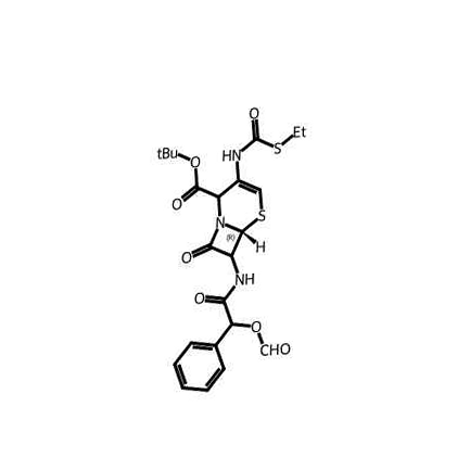 CCSC(=O)NC1=CS[C@@H]2C(NC(=O)C(OC=O)c3ccccc3)C(=O)N2C1C(=O)OC(C)(C)C